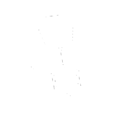 CS(=O)(=O)c1nc(Cl)c(C#N)c(N2CCCOCC2)n1